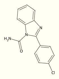 NC(=O)n1c(-c2ccc(Cl)cc2)nc2ccccc21